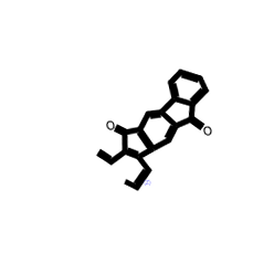 C=Cc1c(/C=C\C)c2cc3c(=O)c4ccccc4c3cc2c1=O